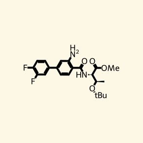 COC(=O)[C@@H](NC(=O)c1ccc(-c2ccc(F)c(F)c2)cc1N)[C@@H](C)OC(C)(C)C